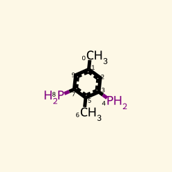 Cc1cc(P)c(C)c(P)c1